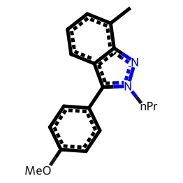 CCCn1nc2c(C)cccc2c1-c1ccc(OC)cc1